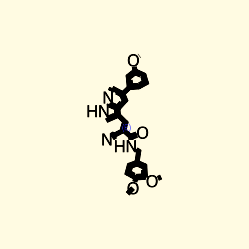 COc1cccc(-c2cnc3[nH]cc(/C=C(\C#N)C(=O)NCc4ccc(OC)c(OC)c4)c3c2)c1